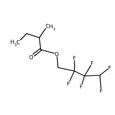 CCC(C)C(=O)OCC(F)(F)C(F)(F)C(F)F